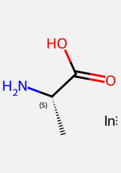 C[C@H](N)C(=O)O.[In]